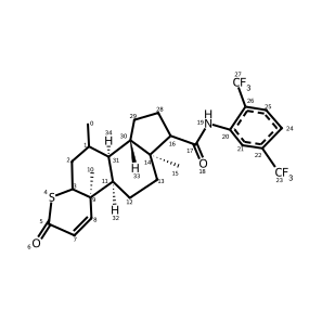 CC1CC2SC(=O)C=C[C@]2(C)[C@@H]2CC[C@]3(C)C(C(=O)Nc4cc(C(F)(F)F)ccc4C(F)(F)F)CC[C@H]3[C@H]12